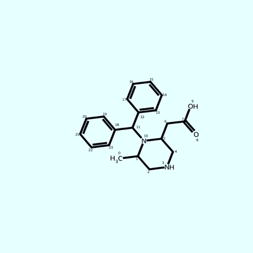 CC1CNCC(CC(=O)O)N1C(c1ccccc1)c1ccccc1